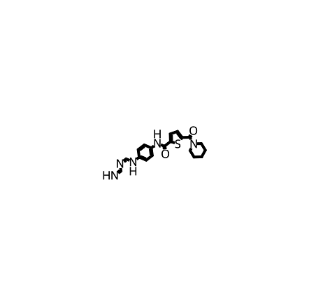 N=C/N=C\Nc1ccc(NC(=O)c2ccc(C(=O)N3CCCCC3)s2)cc1